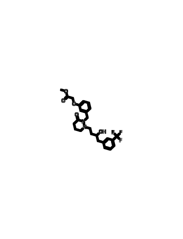 COC(=O)COc1cccc(CN2C(=O)CCCN2CCC(O)Cc2cccc(C(F)(F)F)c2)c1